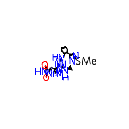 CSc1ncc(-c2ccccc2CNc2nc(NC3CC3)n3ncc(/C=C4\NC(=O)NC4=O)c3n2)cn1